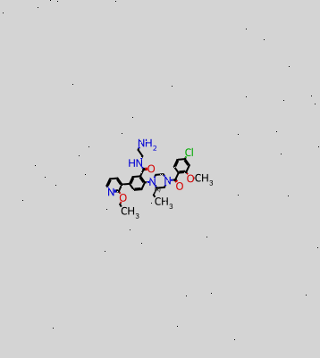 CCOc1ncccc1-c1ccc(N2CCN(C(=O)c3ccc(Cl)cc3OC)C[C@H]2CC)c(C(=O)NCCN)c1